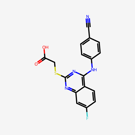 N#Cc1ccc(Nc2nc(SCC(=O)O)nc3cc(F)ccc23)cc1